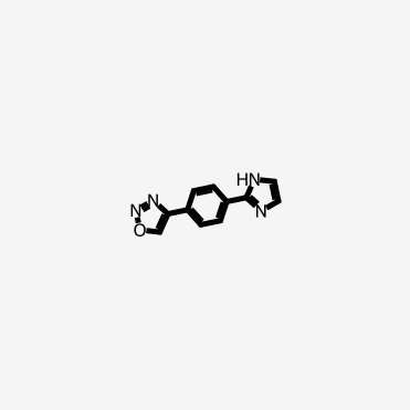 c1c[nH]c(-c2ccc(-c3conn3)cc2)n1